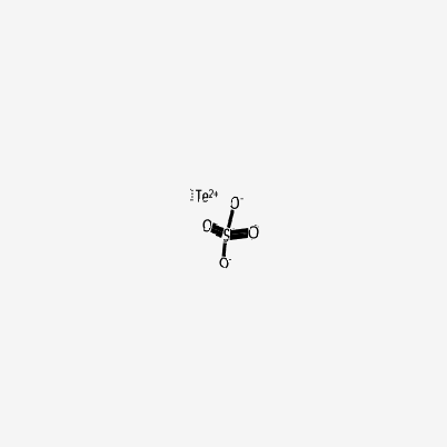 O=S(=O)([O-])[O-].[Te+2]